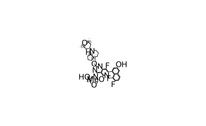 COc1nc(-c2cc(O)cc3ccc(F)c(F)c23)c(F)c2nc(OC[C@]34CCC[C@H]3N(C3C[C@@H](C)O[C@@H](C)C3)CCC4)nc(N3CCOC[C@@](C)(O)C3)c12